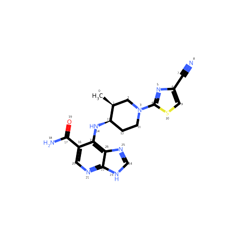 C[C@H]1CN(c2nc(C#N)cs2)CC[C@H]1Nc1c(C(N)=O)cnc2[nH]cnc12